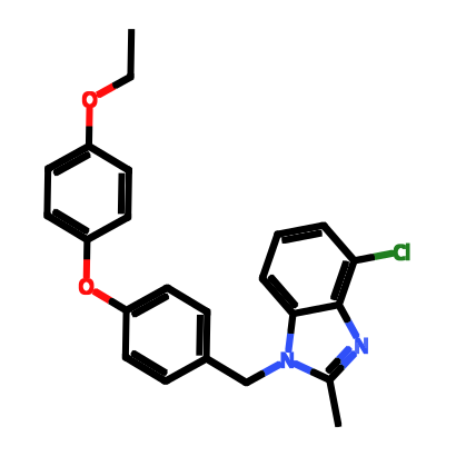 CCOc1ccc(Oc2ccc(Cn3c(C)nc4c(Cl)cccc43)cc2)cc1